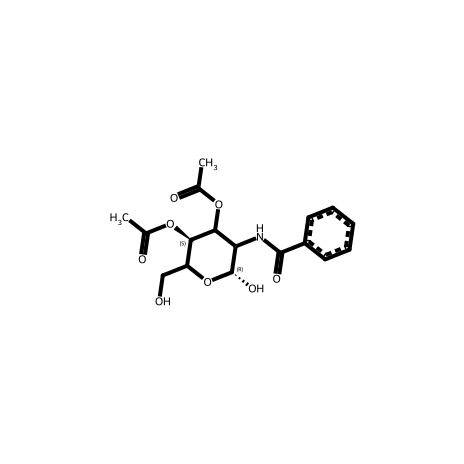 CC(=O)OC1C(NC(=O)c2ccccc2)[C@H](O)OC(CO)[C@H]1OC(C)=O